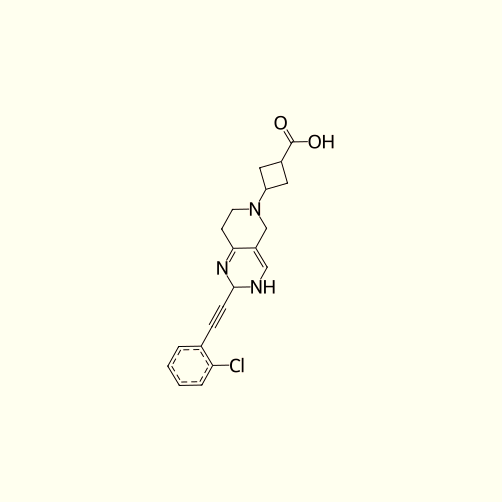 O=C(O)C1CC(N2CCC3=NC(C#Cc4ccccc4Cl)NC=C3C2)C1